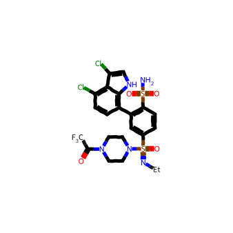 CCN=S(=O)(c1ccc(S(N)(=O)=O)c(-c2ccc(Cl)c3c(Cl)c[nH]c23)c1)N1CCN(C(=O)C(F)(F)F)CC1